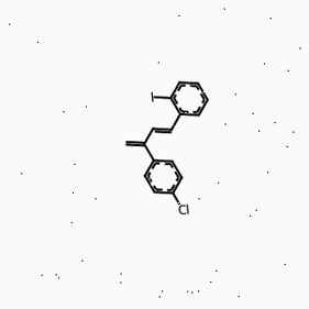 C=C(C=Cc1ccccc1I)c1ccc(Cl)cc1